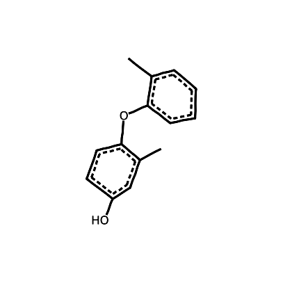 Cc1ccccc1Oc1ccc(O)cc1C